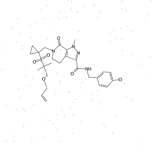 C=CCOCC(C)(C)S(=O)(=O)C1(CN2CCc3c(C(=O)NCc4ccc(Cl)cc4)nn(C)c3C2=O)CC1